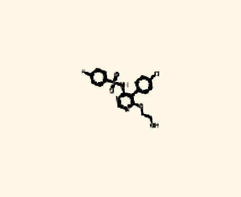 O=S(=O)(Nc1ncnc(OCCO)c1-c1ccc(Cl)cc1)c1ccc(F)cc1